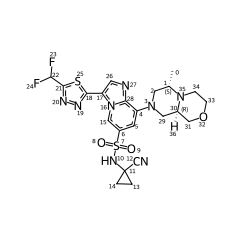 C[C@H]1CN(c2cc(S(=O)(=O)NC3(C#N)CC3)cn3c(-c4nnc(C(F)F)s4)cnc23)C[C@@H]2COCCN21